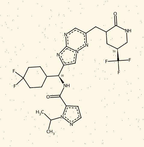 CC(C)n1nccc1C(=O)N[C@H](c1cn2nc(CC3C[C@H](C(F)(F)F)CNC3=O)cnc2n1)C1CCC(F)(F)CC1